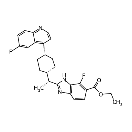 CCOC(=O)c1ccc2nc([C@H](C)[C@H]3CC[C@@H](c4ccnc5ccc(F)cc54)CC3)[nH]c2c1F